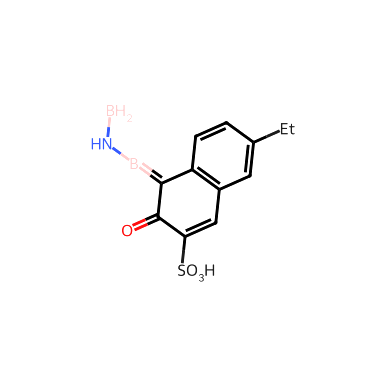 BN/B=C1\C(=O)C(S(=O)(=O)O)=Cc2cc(CC)ccc21